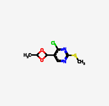 CSc1ncc(C2OC(C)O2)c(Cl)n1